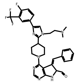 CN(C)CCn1cc(-c2ccc(F)c(C(F)(F)F)c2)nc1C1CCN(c2ncnc3c2C(=Cc2ccccc2)C(C=O)N3)CC1